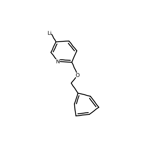 [Li][c]1ccc(OCc2ccccc2)nc1